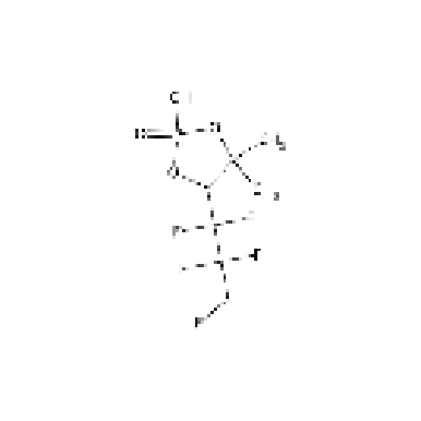 CC1(C)OP(=O)(O)OC1C(F)(F)C(F)(F)CF